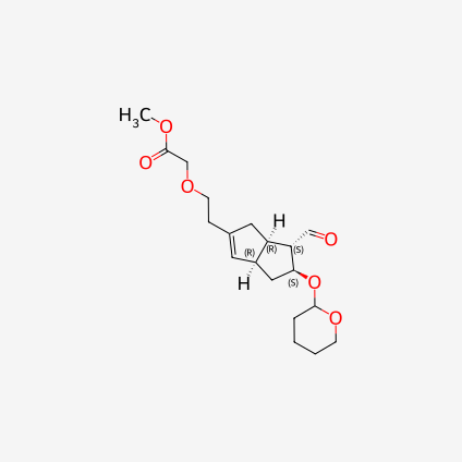 COC(=O)COCCC1=C[C@@H]2C[C@H](OC3CCCCO3)[C@@H](C=O)[C@@H]2C1